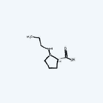 CCCNN1CCC[C@H]1C(=O)O